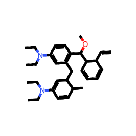 C=CC1C=CC=CC1C(OC)c1ccc(N(CC)CC)cc1CC1C=C(N(CC)CC)C=CC1C